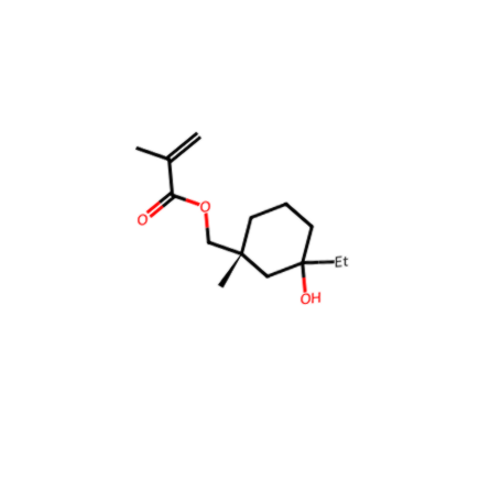 C=C(C)C(=O)OC[C@]1(C)CCCC(O)(CC)C1